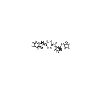 c1csc(Cn2nncc2CN2CCN(c3nc4ccccc4s3)CC2)c1